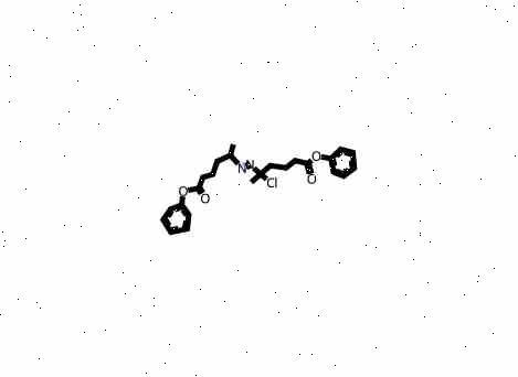 CC(CCCC(=O)Oc1ccccc1)/N=N/C(C)(Cl)CCCC(=O)Oc1ccccc1